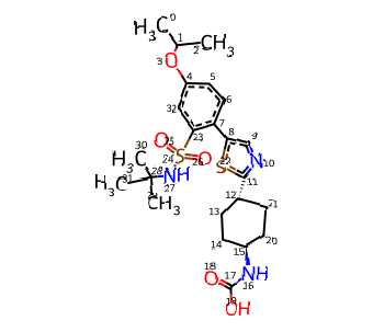 CC(C)Oc1ccc(-c2cnc([C@H]3CC[C@H](NC(=O)O)CC3)s2)c(S(=O)(=O)NC(C)(C)C)c1